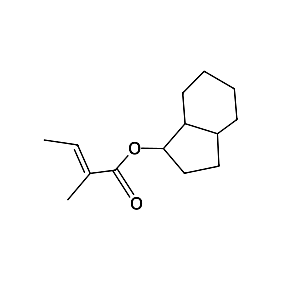 CC=C(C)C(=O)OC1CCC2CCCCC21